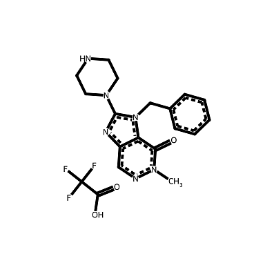 Cn1ncc2nc(N3CCNCC3)n(Cc3ccccc3)c2c1=O.O=C(O)C(F)(F)F